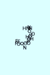 N#Cc1cc(OC(F)(F)F)ccc1OCC(=O)N1C[C@@H]2CN(C(=O)c3ccc4[nH]nnc4c3)C[C@H]2C1